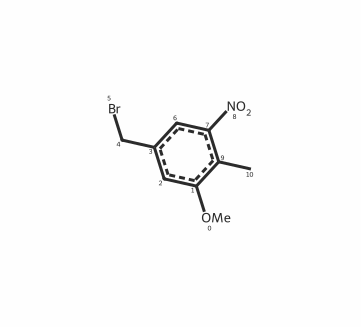 COc1cc(CBr)cc([N+](=O)[O-])c1C